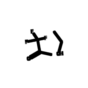 CC(=O)C(F)(F)F.CCO